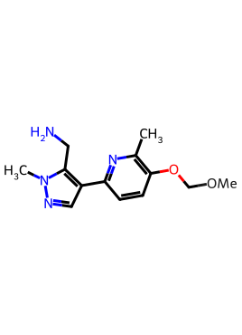 COCOc1ccc(-c2cnn(C)c2CN)nc1C